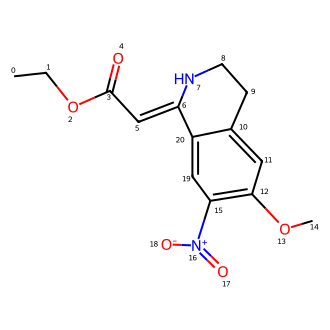 CCOC(=O)C=C1NCCc2cc(OC)c([N+](=O)[O-])cc21